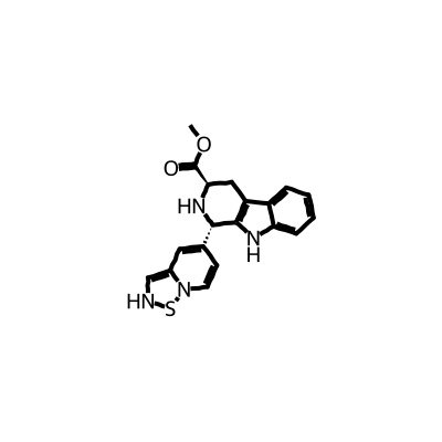 COC(=O)[C@H]1Cc2c([nH]c3ccccc23)[C@H](C2=CC3=CNSN3C=C2)N1